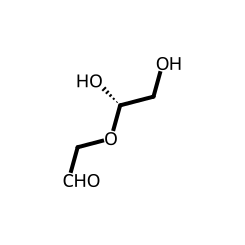 O=CCO[C@H](O)CO